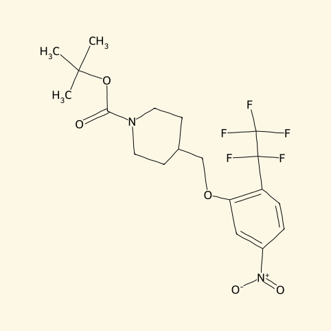 CC(C)(C)OC(=O)N1CCC(COc2cc([N+](=O)[O-])ccc2C(F)(F)C(F)(F)F)CC1